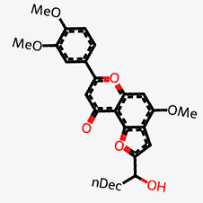 CCCCCCCCCCC(O)c1cc2c(OC)cc3oc(-c4ccc(OC)c(OC)c4)cc(=O)c3c2o1